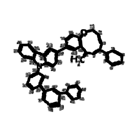 C=C1/C=C(c2ccccc2)\C=C/COc2ccc(-c3ccc4c(c3)c3ccccc3n4-c3cccc(-c4cccc(-c5ccccc5)c4)c3)cc21